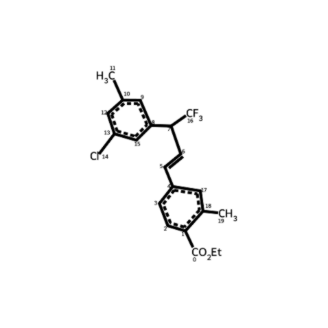 CCOC(=O)c1ccc(/C=C/C(c2cc(C)cc(Cl)c2)C(F)(F)F)cc1C